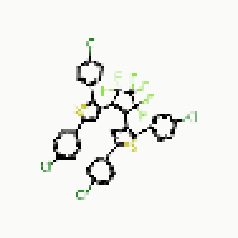 FC1(F)C(c2cc(-c3ccc(Cl)cc3)sc2-c2ccc(Cl)cc2)=C(c2cc(-c3ccc(Cl)cc3)sc2-c2ccc(Cl)cc2)C(F)(F)C1(F)F